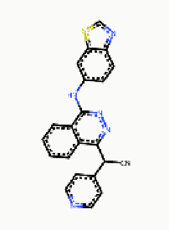 N#CC(c1ccncc1)c1nnc(Nc2ccc3ncsc3c2)c2ccccc12